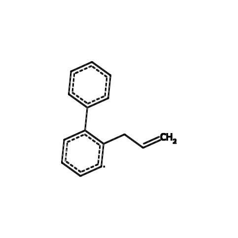 C=CCc1[c]cccc1-c1ccccc1